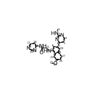 CNc1nccc(-c2cc(NCC(=O)Nc3ccncn3)c3cc(OC)ccc3c2)n1